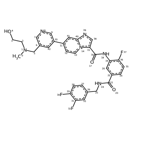 CN(CCO)Cc1cncc(-c2ccn3c(C(=O)Nc4cc(C(=O)NCc5ccc(F)c(F)c5)ccc4F)cnc3c2)c1